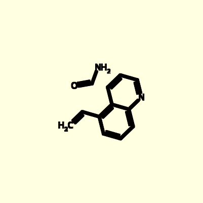 C=Cc1cccc2ncccc12.NC=O